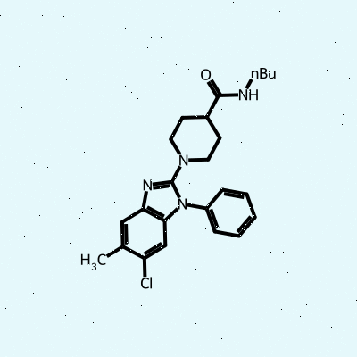 CCCCNC(=O)C1CCN(c2nc3cc(C)c(Cl)cc3n2-c2ccccc2)CC1